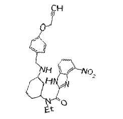 C#CCOc1ccc(CNC2CCCC(N(CC)C(=O)c3nc4c([N+](=O)[O-])cccc4[nH]3)C2)cc1